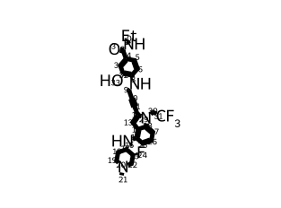 CCNC(=O)c1ccc(NCC#Cc2cc3c(N[C@@H]4CCN(C)C[C@@H]4F)cccc3n2CC(F)(F)F)c(O)c1